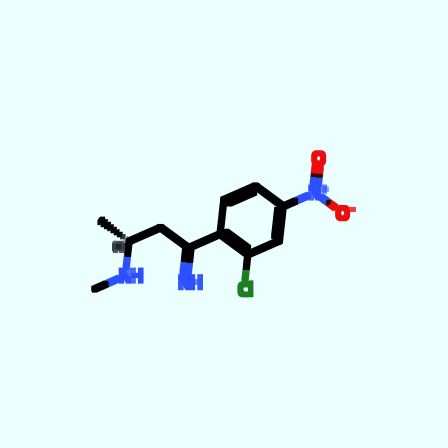 CN[C@H](C)CC(=N)c1ccc([N+](=O)[O-])cc1Cl